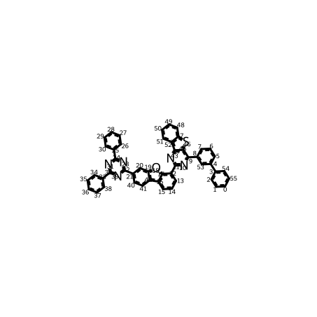 c1ccc(-c2cccc(-c3nc(-c4cccc5c4oc4cc(-c6nc(-c7ccccc7)nc(-c7ccccc7)n6)ccc45)nc4c3sc3ccccc34)c2)cc1